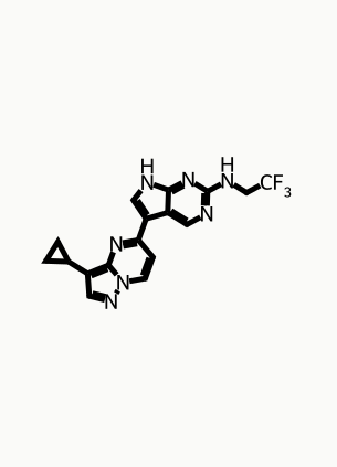 FC(F)(F)CNc1ncc2c(-c3ccn4ncc(C5CC5)c4n3)c[nH]c2n1